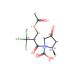 CC(=O)SCC(C(=O)[N+]1(C(=O)O)CC(=O)C[C@H]1C)C(F)(F)F